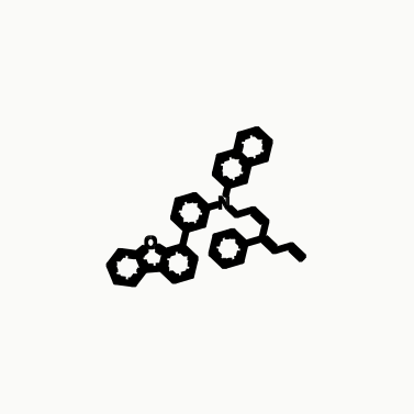 C=C/C=C(\C=C/CN(c1cccc(-c2cccc3c2oc2ccccc23)c1)c1ccc2ccccc2c1)c1ccccc1